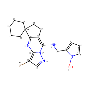 On1cccc1CNc1c2c(nc3c(Br)cnn13)C1(CCCCC1)CC2